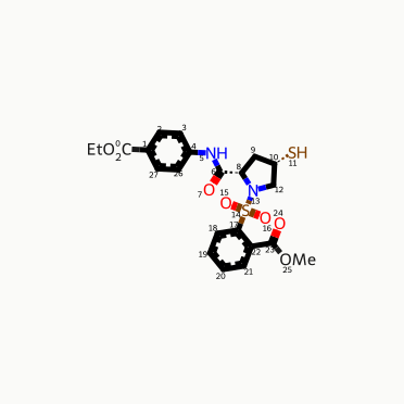 CCOC(=O)c1ccc(NC(=O)[C@@H]2C[C@H](S)CN2S(=O)(=O)c2ccccc2C(=O)OC)cc1